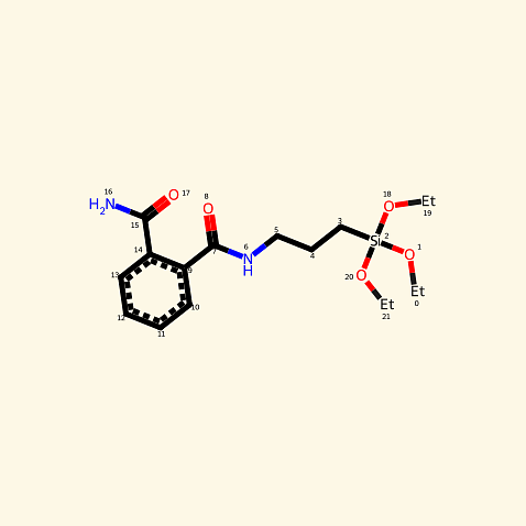 CCO[Si](CCCNC(=O)c1ccccc1C(N)=O)(OCC)OCC